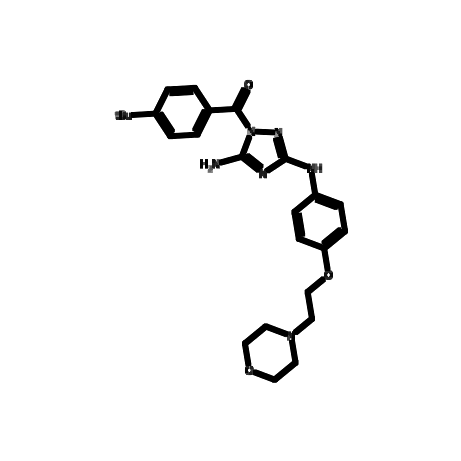 CC(C)(C)c1ccc(C(=O)n2nc(Nc3ccc(OCCN4CCOCC4)cc3)nc2N)cc1